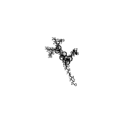 CCCCCCCCCCCCC(CCOC(=O)CCC(OCC(CCC)CCC)OCC(CCC)CCC)OC(=O)OCCCN(C)C